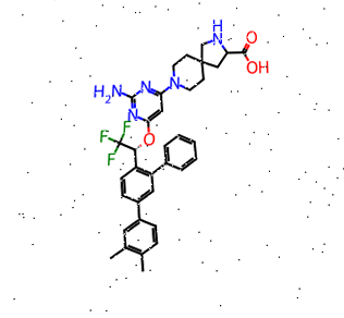 Cc1ccc(-c2ccc([C@@H](Oc3cc(N4CCC5(CC4)CNC(C(=O)O)C5)nc(N)n3)C(F)(F)F)c(-c3ccccc3)c2)cc1C